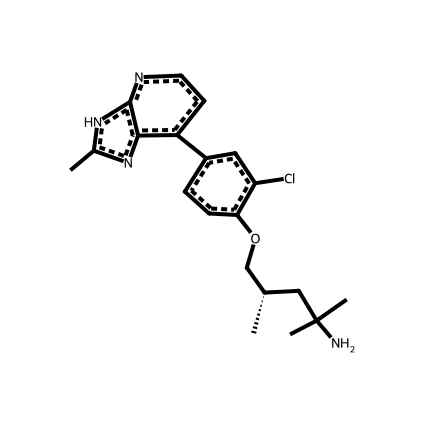 Cc1nc2c(-c3ccc(OC[C@@H](C)CC(C)(C)N)c(Cl)c3)ccnc2[nH]1